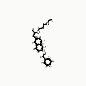 CCOCCCOC(C)Cc1ccc2cc(OCc3ccccc3)ccc2c1